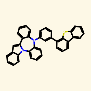 c1cc(-c2cccc3c2sc2ccccc23)cc(N2c3ccccc3-c3cc4ccccc4n3-c3ccccc32)c1